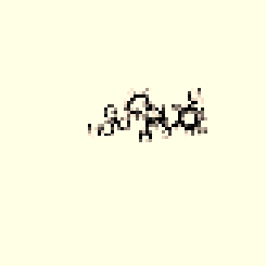 O=C(O)OC1CCCc2nn(Cc3ccnc(Cl)c3)c(=O)n21